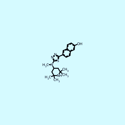 CN(c1nnc(-c2ccc3cc(O)ccc3c2)s1)C1CC(C)(C)NC(C)(C)C1